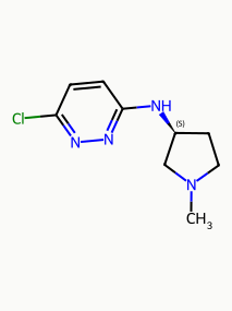 CN1CC[C@H](Nc2ccc(Cl)nn2)C1